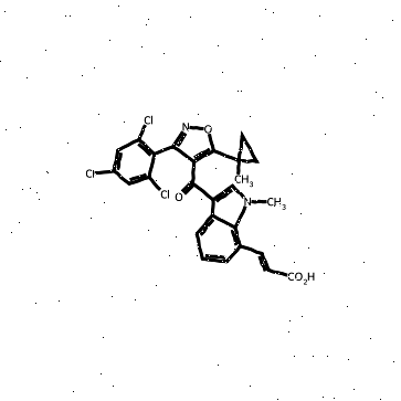 Cn1cc(C(=O)c2c(-c3c(Cl)cc(Cl)cc3Cl)noc2C2(C)CC2)c2cccc(/C=C/C(=O)O)c21